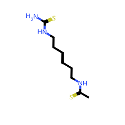 CC(=S)NCCCCCCNC(N)=S